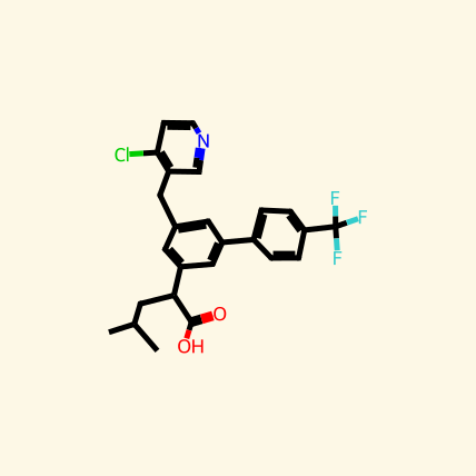 CC(C)CC(C(=O)O)c1cc(Cc2cnccc2Cl)cc(-c2ccc(C(F)(F)F)cc2)c1